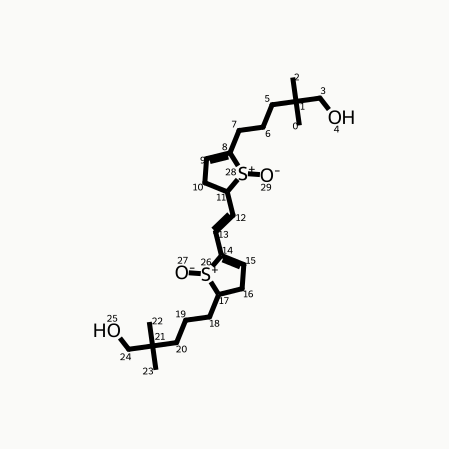 CC(C)(CO)CCCC1=CCC(C=CC2=CCC(CCCC(C)(C)CO)[S+]2[O-])[S+]1[O-]